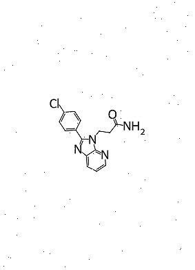 NC(=O)CCn1c(-c2ccc(Cl)cc2)nc2cccnc21